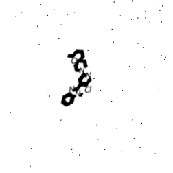 CC1CCCC2(CCN(c3cc(-c4nc5ccccc5n4C)c(Cl)cn3)CC2)O1